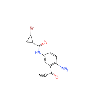 COC(=O)c1cc(NC(=O)C2CC2Br)ccc1N